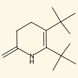 C=C1CCC(C(C)(C)C)=C(C(C)(C)C)N1